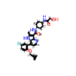 Cc1[nH]c2c(-c3cc(F)ccc3OCC3CC3)ccnc2c1C(=O)N[C@H]1CC[C@H](NC(=O)CO)CC1